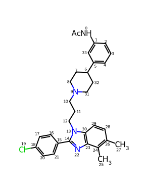 CC(=O)Nc1cccc(C2CCN(CCCn3c(-c4ccc(Cl)cc4)nc4c(C)c(C)ccc43)CC2)c1